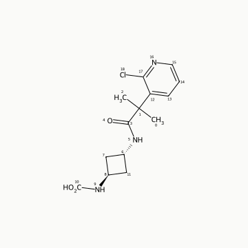 CC(C)(C(=O)N[C@H]1C[C@H](NC(=O)O)C1)c1cccnc1Cl